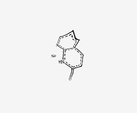 O=c1ccc2cccnc2[nH]1.[Na]